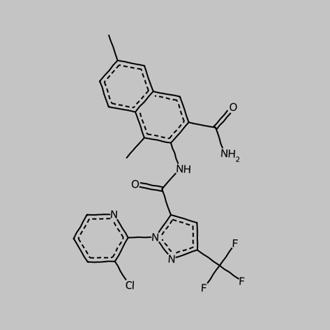 Cc1ccc2c(C)c(NC(=O)c3cc(C(F)(F)F)nn3-c3ncccc3Cl)c(C(N)=O)cc2c1